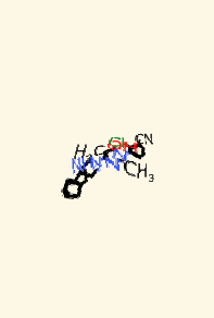 CC1=NC(N2CCC3(CC2)Cc2ccccc2[C@H]3N)=C(C)C(O)N1c1cccc(C#N)c1Cl